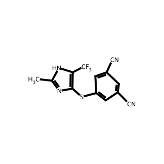 Cc1nc(Sc2cc(C#N)cc(C#N)c2)c(C(F)(F)F)[nH]1